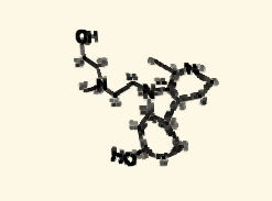 Cc1nccc2c3ccc(O)cc3n(CCN(C)CCO)c12